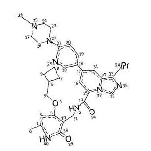 Cc1cc(OCC2CCC2)c(CNC(=O)c2cc(-c3ccc(N4CCN(C)CC4)nc3)cc3c(C(C)C)ncn23)c(=O)[nH]1